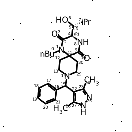 CCCCN1C(=O)[C@@H]([C@H](O)C(C)C)NC(=O)C12CCN(C(c1ccccc1)c1c(C)n[nH]c1C)CC2